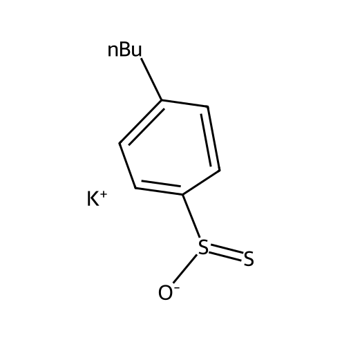 CCCCc1ccc(S([O-])=S)cc1.[K+]